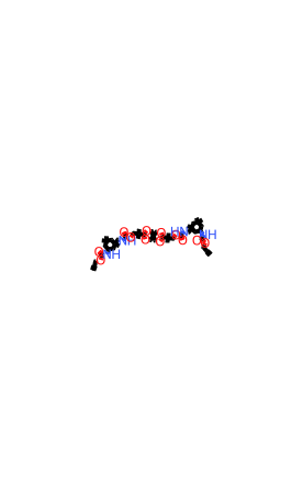 C#CCOC(=O)NC1CC(C)(C)CC(C)(CNC(=O)OCC(C)(C)C2OCC3(CO2)COC(C(C)(C)COC(=O)NCC2(C)CC(NC(=O)OCC#C)CC(C)(C)C2)OC3)C1